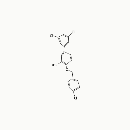 O=Cc1cc(-c2cc(Cl)cc(Cl)c2)ccc1OCc1ccc(Cl)cc1